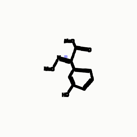 CO/N=C(/C(=O)OC)c1cccc(O)c1